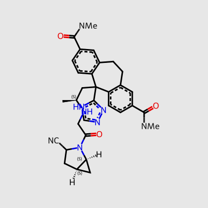 CNC(=O)c1ccc2c(c1)CCc1cc(C(=O)NC)ccc1C2(C[C@H](C)NCC(=O)N1C(C#N)C[C@@H]2C[C@@H]21)c1nnc[nH]1